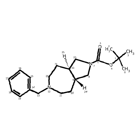 CC(C)(C)OC(=O)N1C[C@@H]2CCN(Cc3ccccc3)CC[C@H]2C1